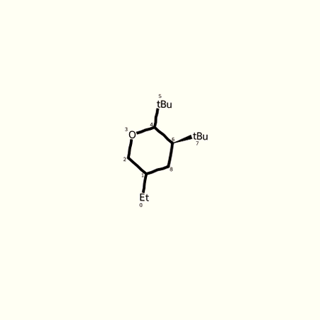 CCC1COC(C(C)(C)C)[C@@H](C(C)(C)C)C1